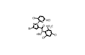 CCCCN(C(=O)c1cc(Br)nn1-c1ncccc1Cl)c1c(Cl)cc(Cl)cc1C(=O)O.Cl